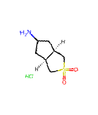 Cl.NC1C[C@@H]2CS(=O)(=O)C[C@@H]2C1